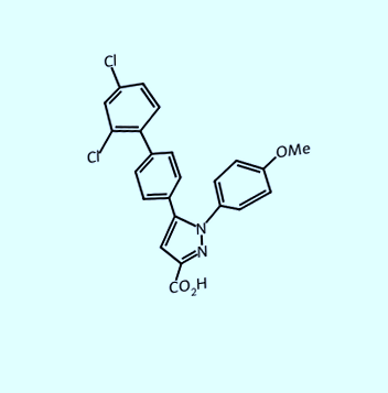 COc1ccc(-n2nc(C(=O)O)cc2-c2ccc(-c3ccc(Cl)cc3Cl)cc2)cc1